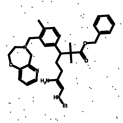 CCN/C=C(\N)CCC(c1ccc(C)c(CN2CCOc3cccnc3C2)c1)C(C)(C)C(=O)OCc1ccccc1